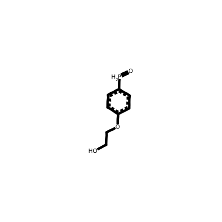 O=[PH2]c1ccc(OCCO)cc1